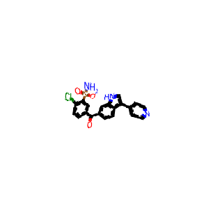 NS(=O)(=O)c1cc(C(=O)c2ccc3c(-c4ccncc4)c[nH]c3c2)ccc1Cl